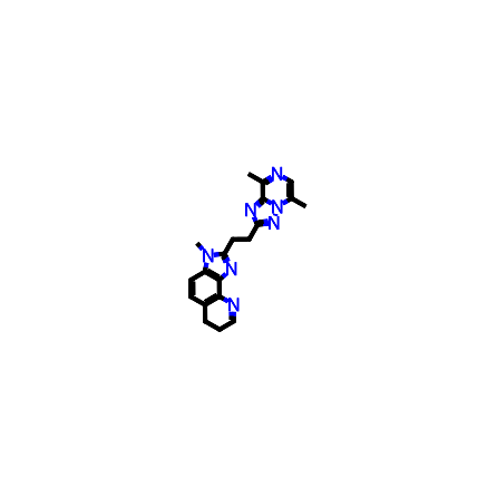 Cc1ncc(C)n2nc(CCc3nc4c5c(ccc4n3C)CCC=N5)nc12